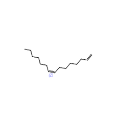 C=CCCCCC/C=C\CCCCCC